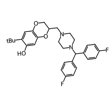 CC(C)(C)c1cc2c(cc1O)OC(CN1CCN(C(c3ccc(F)cc3)c3ccc(F)cc3)CC1)CO2